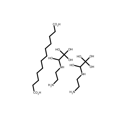 NCCNC(O)C(O)(O)O.NCCNC(O)C(O)(O)O.O=C(O)CCCCCCCCCCC(=O)O